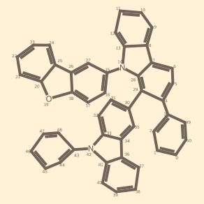 c1ccc(-c2ccc3c4ccccc4n(-c4ccc5oc6ccccc6c5c4)c3c2-c2ccc3c(c2)c2ccccc2n3-c2ccccc2)cc1